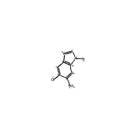 CCn1cnc2cc(Cl)c([N+](=O)[O-])cc21